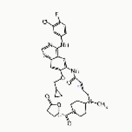 CN(C/C=C/C(=O)Nc1cc2c(Nc3ccc(F)c(Cl)c3)ncnc2cc1OCC1CC1)C1CCN(C(=O)[C@@H]2CCC(=O)O2)CC1